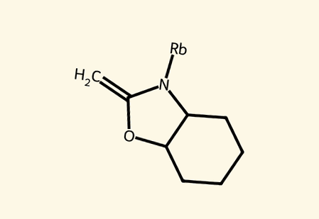 C=C1OC2CCCCC2[N]1[Rb]